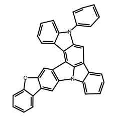 c1ccc(-n2c3ccccc3c3c4c5cc6oc7ccccc7c6cc5n5c6ccccc6c(cc32)c45)cc1